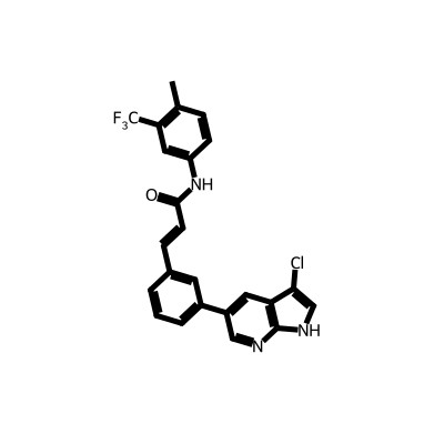 Cc1ccc(NC(=O)C=Cc2cccc(-c3cnc4[nH]cc(Cl)c4c3)c2)cc1C(F)(F)F